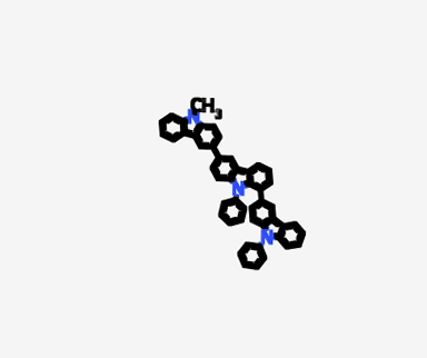 Cn1c2ccccc2c2cc(-c3ccc4c(c3)c3cccc(-c5ccc6c(c5)c5ccccc5n6-c5ccccc5)c3n4-c3ccccc3)ccc21